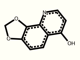 Oc1ccnc2c3c(ccc12)OCO3